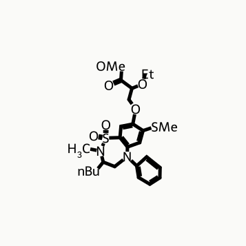 CCCCC1CN(c2ccccc2)c2cc(SC)c(OCC(OCC)C(=O)OC)cc2S(=O)(=O)N1C